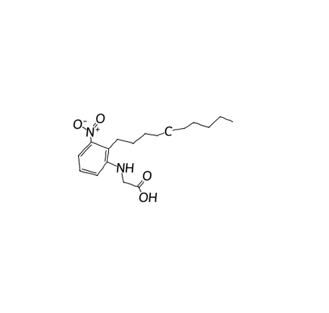 CCCCCCCCCCc1c(NCC(=O)O)cccc1[N+](=O)[O-]